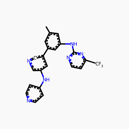 Cc1cc(Nc2nccc(C(F)(F)F)n2)cc(-c2cncc(Nc3ccncc3)c2)c1